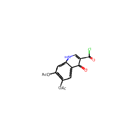 CC(=O)Oc1cc2[nH]cc(C(=O)Cl)c(=O)c2cc1OC(C)=O